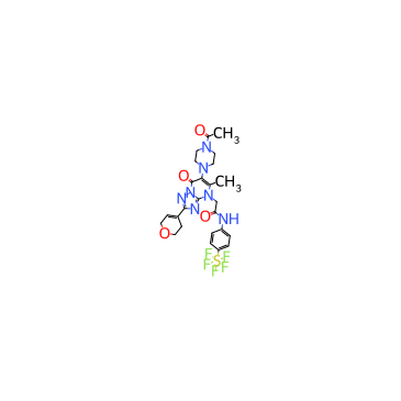 CC(=O)N1CCN(c2c(C)n(CC(=O)Nc3ccc(S(F)(F)(F)(F)F)cc3)c3nc(C4=CCOCC4)nn3c2=O)CC1